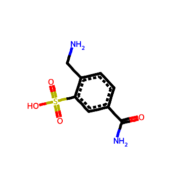 NCc1ccc(C(N)=O)cc1S(=O)(=O)O